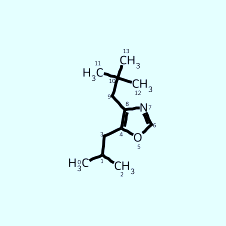 CC(C)Cc1ocnc1CC(C)(C)C